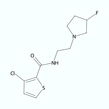 O=C(NCCN1CCC(F)C1)c1sccc1Cl